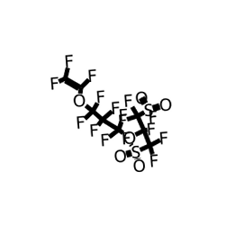 O=S(=O)(F)C(F)(F)C(F)(OC(F)(F)C(F)(F)C(F)(F)OC(F)=C(F)F)C(F)(F)S(=O)(=O)F